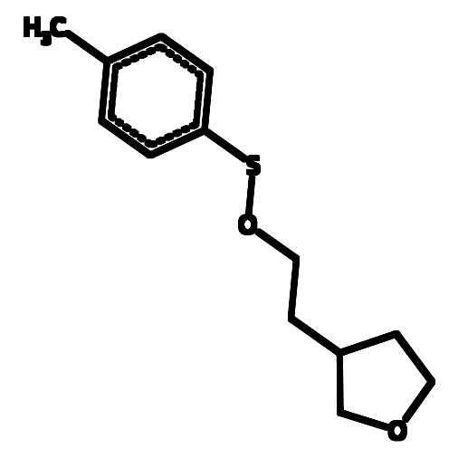 Cc1ccc(SOCCC2CCOC2)cc1